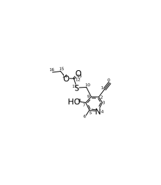 C#Cc1cnc(C)c(O)c1CSC(=O)OCC